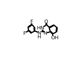 O=c1[nH]c(Nc2cc(F)cc(F)c2)nc2c(O)cccc12